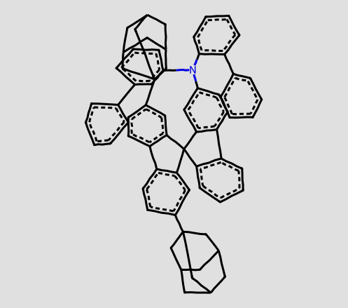 c1ccc(-c2cccc(N(c3ccc4c(c3)C3(c5ccccc5-4)c4cc(C56CC7CC(CC(C7)C5)C6)ccc4-c4ccc(C56CC7CC(CC(C7)C5)C6)cc43)c3ccccc3-c3ccccc3)c2)cc1